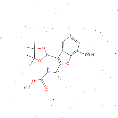 C[C@H](NC(=O)OC(C)(C)C)c1oc2c(C(=O)O)cc(F)cc2c1B1OC(C)(C)C(C)(C)O1